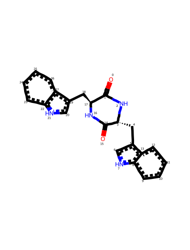 O=C1N[C@H](Cc2c[nH]c3ccccc23)C(=O)N[C@H]1Cc1c[nH]c2ccccc12